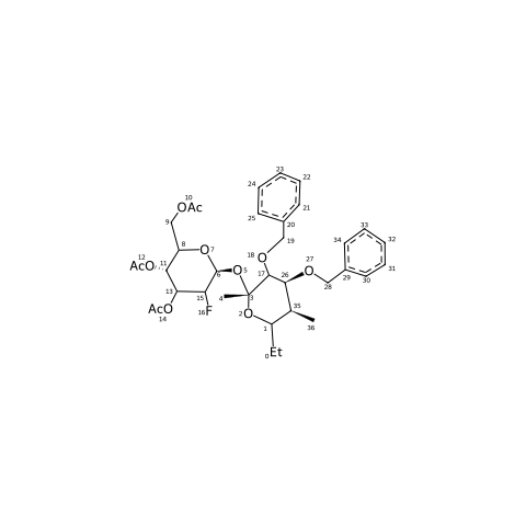 CCC1O[C@](C)(O[C@@H]2OC(COC(C)=O)[C@@H](OC(C)=O)C(OC(C)=O)C2F)C(OCc2ccccc2)[C@@H](OCc2ccccc2)[C@H]1C